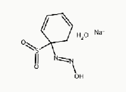 O.O=[S-](=O)C1(N=NO)C=CC=CC1.[Na+]